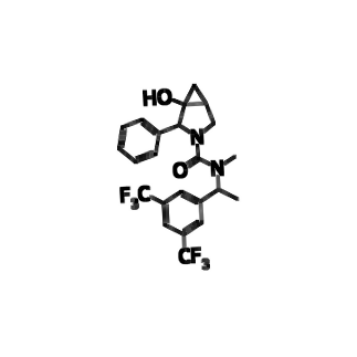 CC(c1cc(C(F)(F)F)cc(C(F)(F)F)c1)N(C)C(=O)N1CC2CC2(O)C1c1ccccc1